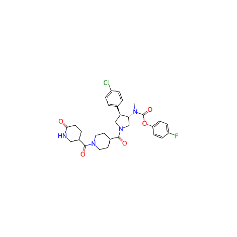 CN(C(=O)Oc1ccc(F)cc1)[C@@H]1CN(C(=O)C2CCN(C(=O)C3CCC(=O)NC3)CC2)C[C@H]1c1ccc(Cl)cc1